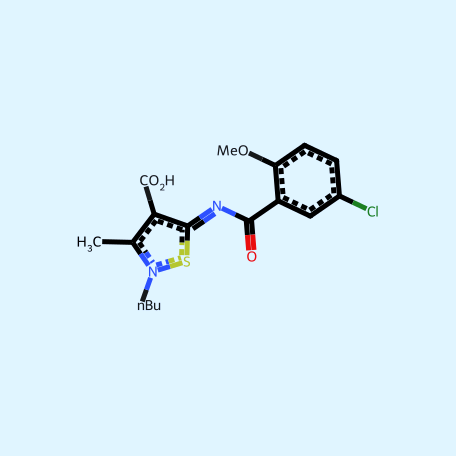 CCCCn1sc(=NC(=O)c2cc(Cl)ccc2OC)c(C(=O)O)c1C